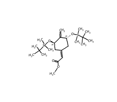 C=C1[C@H](O[Si](C)(C)C(C)(C)C)CC(=CC(=O)OC)C[C@H]1O[Si](C)(C)C(C)(C)C